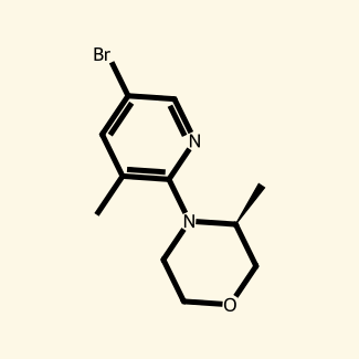 Cc1cc(Br)cnc1N1CCOC[C@@H]1C